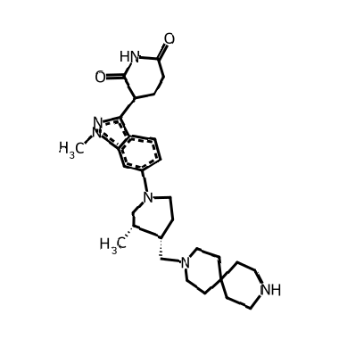 C[C@@H]1CN(c2ccc3c(C4CCC(=O)NC4=O)nn(C)c3c2)CC[C@@H]1CN1CCC2(CCNCC2)CC1